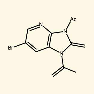 C=C(C)N1C(=C)N(C(C)=O)c2ncc(Br)cc21